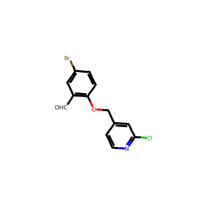 O=Cc1cc(Br)ccc1OCc1ccnc(Cl)c1